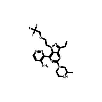 CCc1nn(CCOCC(F)(F)F)c2c(-c3nnccc3N)nc(N3CCN[C@H](C)C3)nc12